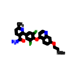 CNCCOc1ccc2c(Oc3c(F)cc(-c4nc(C)ccc4C(N)=O)cc3F)ccnc2c1